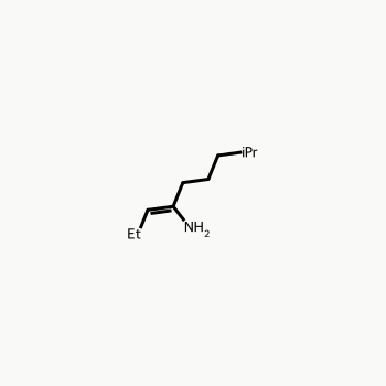 CCC=C(N)CCCC(C)C